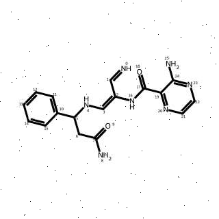 N=C/C(=C\NC(CC(N)=O)c1ccccc1)NC(=O)c1nccnc1N